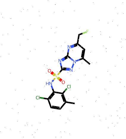 Cc1ccc(Cl)c(NS(=O)(=O)c2nc3nc(CF)cc(C)n3n2)c1Cl